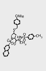 COc1ccc(CSC2CC(C(=O)N(C)NS(=O)(=O)c3ccc(C)cc3)N(S(=O)(=O)c3ccc4ccccc4c3)C2)cc1